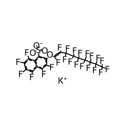 O=S(=O)([O-])c1c(OC(F)=C(F)C(F)(F)C(F)(F)C(F)(F)C(F)(F)C(F)(F)C(F)(F)C(F)(F)F)c(F)c(F)c2c(F)c(F)c(F)c(F)c12.[K+]